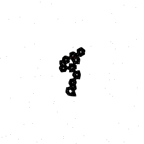 C1=CC(c2ccc3c4c(sc3c2)C2CC2CC=C4)=CC(c2nc(-c3ccccc3)nc(-c3cccc4sc5ccc(-c6ccc(-c7ccccc7)cc6)cc5c34)n2)C1